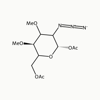 COC1C(N=[N+]=[N-])[C@H](OC(C)=O)OC(COC(C)=O)[C@H]1OC